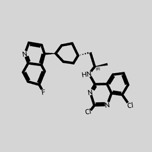 C[C@H](C[C@H]1CC[C@H](c2ccnc3ccc(F)cc32)CC1)Nc1nc(Cl)nc2c(Cl)cccc12